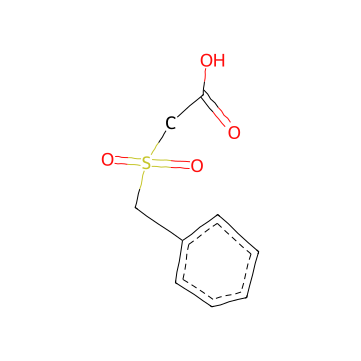 O=C(O)CS(=O)(=O)Cc1ccccc1